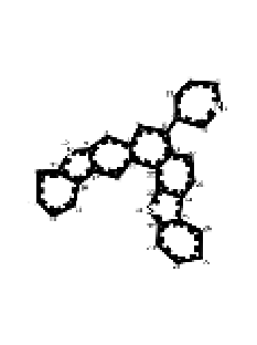 c1cncc(-c2cc3cc4sc5ccccc5c4cc3c3c2ccc2c4ccccc4sc23)c1